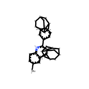 CC(C)(C)c1ccc2nc(-c3ccc4c(c3)C3CC5CC(CC4C5)C3)c3c(c2c1)C1CC2CC(CC3C2)C1